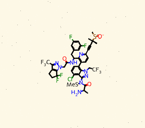 CSN(C(=O)C(C)N)c1nn(CC(F)(F)F)c2c(-c3ccc(C#CC(C)(C)[S+](C)[O-])nc3C(Cc3cc(F)cc(F)c3)NC(=O)Cn3nc(C(F)(F)F)c4c3C(F)(F)CC4)ccc(Cl)c12